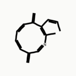 C=c1ccccc(=C)c(/C=C\C)c(C)nc1